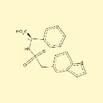 O=C(O)[C@H](NS(=O)(=O)Cc1ccc2sccc2c1)c1ccccc1